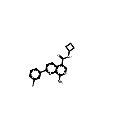 Nc1ncc(C(=O)NC2CCC2)c2ccc(-c3cccc(F)c3)nc12